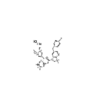 CO[C@H]1CN(C[C@H]2CN[C@H](C)CN2CC(=O)N2CC(C)(C)c3ncc(Cc4ccc(F)cc4)cc32)C[C@H]1F.Cl.Cl